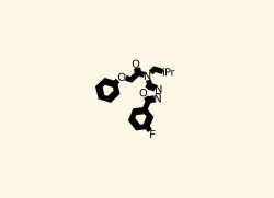 CC(C)CN(C(=O)COc1ccccc1)c1nnc(-c2cccc(F)c2)o1